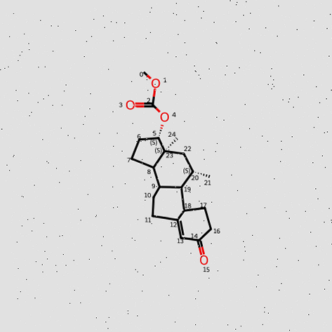 COC(=O)O[C@H]1CCC2C3CCC4=CC(=O)CCC4C3[C@@H](C)C[C@@]21C